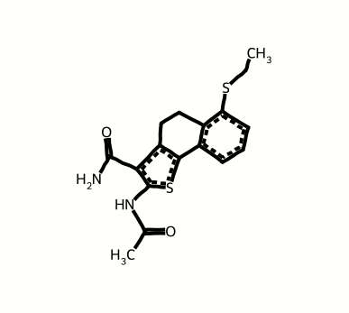 CCSc1cccc2c1CCc1c-2sc(NC(C)=O)c1C(N)=O